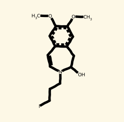 COc1cc2c(cc1OC)CC(O)N(CCCI)C=C2